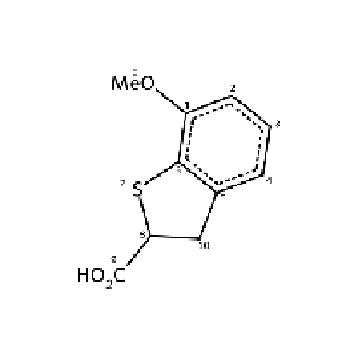 COc1cccc2c1SC(C(=O)O)C2